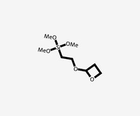 CO[Si](CCOC1CCO1)(OC)OC